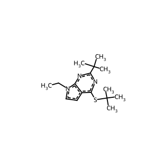 CCn1ccc2c(SC(C)(C)C)nc(C(C)(C)C)nc21